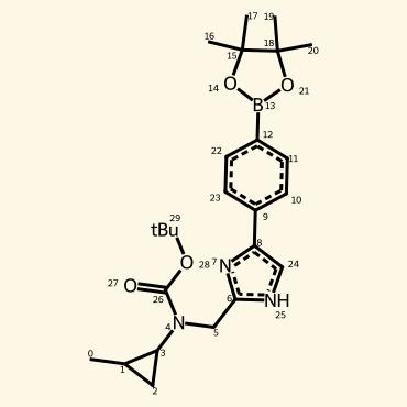 CC1CC1N(Cc1nc(-c2ccc(B3OC(C)(C)C(C)(C)O3)cc2)c[nH]1)C(=O)OC(C)(C)C